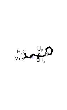 CSC(C)/C=C/C(C)(C)CN1CCCC1